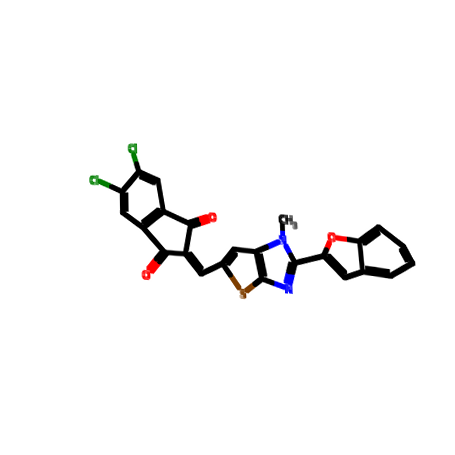 Cn1c(-c2cc3ccccc3o2)nc2sc(C=C3C(=O)c4cc(Cl)c(Cl)cc4C3=O)cc21